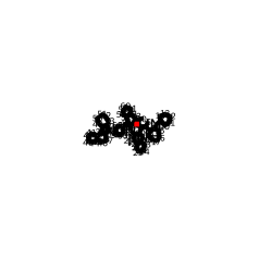 C/C=C\C(=C(/C)C1=C(Nc2ccccc2)C=CCC=C1)C1Nc2ccccc2N(C)C1n1c2ccc(-n3c4c(c5c6ccccc6ccc53)C=CCC=C4)cc2c2c3ccccc3ccc21